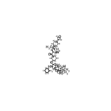 CC1(C)[C@@H]2C[C@H]3OB([C@H](Cc4ccccc4)NC(=O)O[C@H]4CCCN(C(=O)/C(C#N)=C/C(C)(C)N5CCN(C6COC6)CC5)C4)O[C@@]3(C)[C@H]1C2